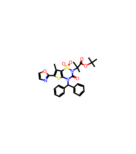 Cc1c(-c2ncco2)sc2c1S(=O)(=O)N(C(C)(C)C(=O)OC(C)(C)C)C(=O)N2C(c1ccccc1)c1ccccc1